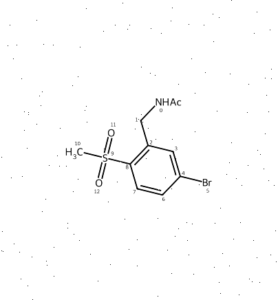 CC(=O)NCc1cc(Br)ccc1S(C)(=O)=O